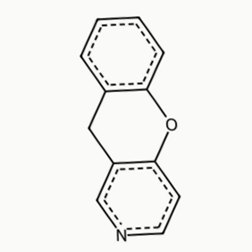 c1ccc2c(c1)Cc1cnccc1O2